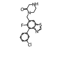 O=C1CNCCN1Cc1cc2scnc2c(-c2cccc(Cl)c2)c1F